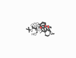 CO[C@@]12CCC(N[C@@H](CO)C(=O)OC(C)(C)C)[C@H](C)[C@@]13CCN(C)C2Cc1ccc(O)c(O)c13